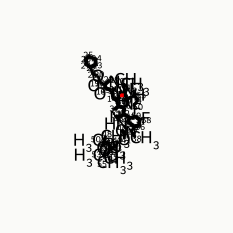 CN1C[C@H]2CCN(c3c(-c4cnc5c(c4)c(=O)c(C(=O)OCc4ccccc4)cn5C)cnc4[nH]c5c(N(C)C(=O)OCOP(=O)(OC(C)(C)C)OC(C)(C)C)cc(F)c(F)c5c34)[C@H]2C1